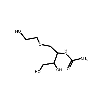 CC(=O)NC(COCCO)C(O)CO